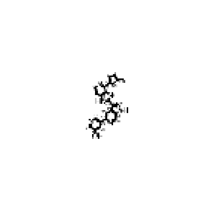 Cc1ccc(-c2nccc3[nH]c(-c4n[nH]c5cnc(-c6cncc(O)c6)cc45)nc23)s1